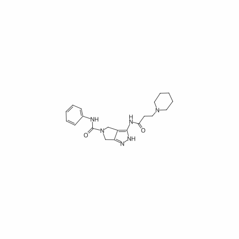 O=C(CCN1CCCCC1)Nc1[nH]nc2c1CN(C(=O)Nc1ccccc1)C2